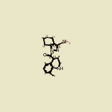 Cc1cccc2c1NCCC2C(=O)n1nc(N)c2c1CCCC2